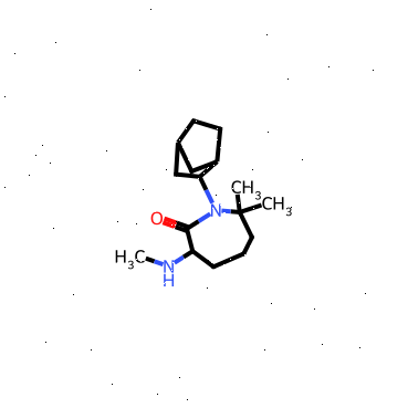 CNC1CCCC(C)(C)N(C2CC3CCC2C3)C1=O